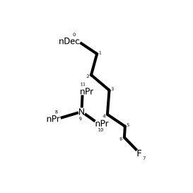 CCCCCCCCCCCCCCCCF.CCCN(CCC)CCC